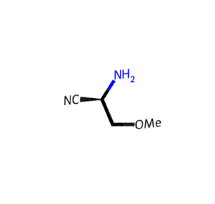 COC[C@H](N)C#N